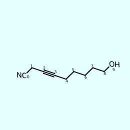 N#CCC#CCCCCCO